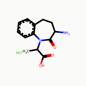 CC(C(=O)O)N1C(=O)C(N)CCc2ccccc21.Cl